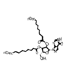 CCCCCCCCCCCCCCCCCC(=O)O[C@@H]1[C@H](OC(=O)CCCCCCCCCCCCCCCCC)[C@@H](CO)O[C@H]1n1ncc2c(=O)[nH]cnc21